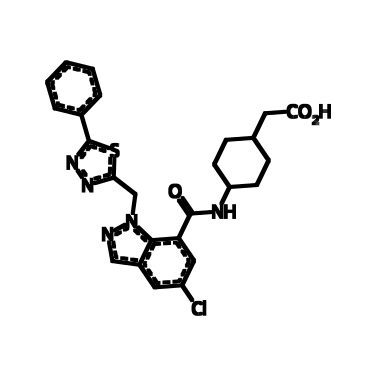 O=C(O)CC1CCC(NC(=O)c2cc(Cl)cc3cnn(Cc4nnc(-c5ccccc5)s4)c23)CC1